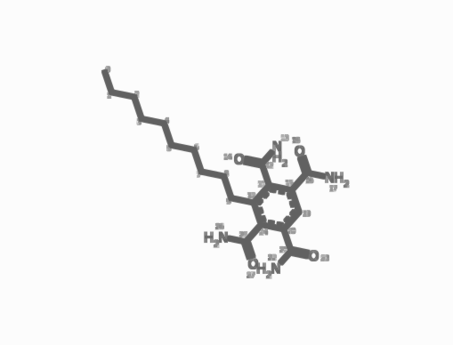 CCCCCCCCCCc1c(C(N)=O)c(C(N)=O)cc(C(N)=O)c1C(N)=O